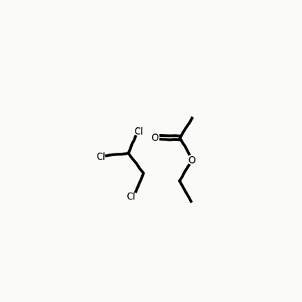 CCOC(C)=O.ClCC(Cl)Cl